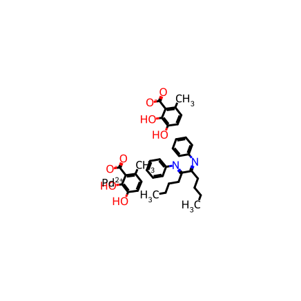 CCCCC(=Nc1ccccc1)C(CCCC)=Nc1ccccc1.Cc1ccc(O)c(O)c1C(=O)[O-].Cc1ccc(O)c(O)c1C(=O)[O-].[Pd+2]